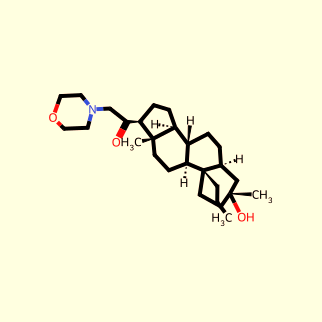 CCC[C@]12CC[C@@](C)(O)C[C@@H]1CC[C@H]1[C@@H]3CC[C@H](C(=O)CN4CCOCC4)[C@@]3(C)CC[C@@H]12